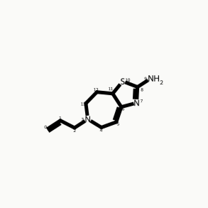 C=CCN1CC=C2N=C(N)SC2CC1